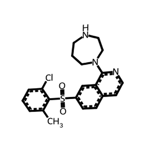 Cc1cccc(Cl)c1S(=O)(=O)c1ccc2ccnc(N3CCCNCC3)c2c1